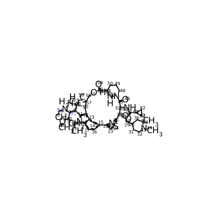 C=C/C(=C(\N=C/C)[C@H](C)OC)c1c2c3cc(ccc3n1CC)-c1csc(n1)[C@@H](OCC1CCN(C)CC1)[C@H](NC(=O)[C@H]1C[C@@H]1C)C(=O)N1CCC[C@H](N1)C(=O)OCC(C)(C)C2